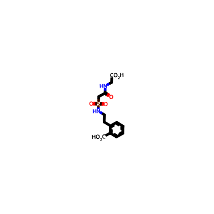 O=C(O)CNC(=O)CS(=O)(=O)NCCc1ccccc1C(=O)O